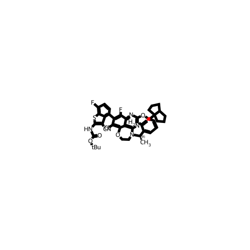 C[C@H](c1cccnc1N)N1CCOc2c(Cl)c(-c3ccc(F)c4sc(NC(=O)OC(C)(C)C)c(C#N)c34)c(F)c3nc(OCC45CCCC4CCC5)nc1c23